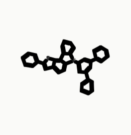 c1ccc(-c2cc(-c3ccccc3)cc(-n3c4ccccc4c4c5sc(-c6ccccc6)cc5ccc43)c2)cc1